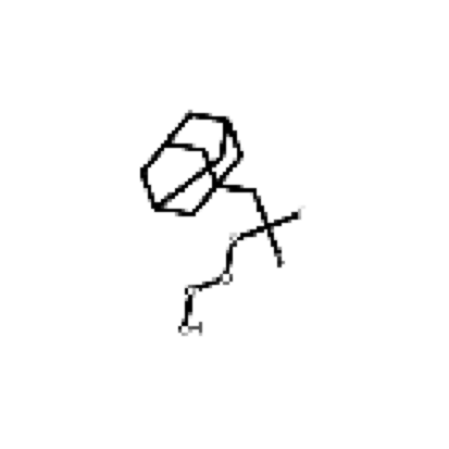 OOOSC(F)(F)CC12CC3CC(CC(C3)C1)C2